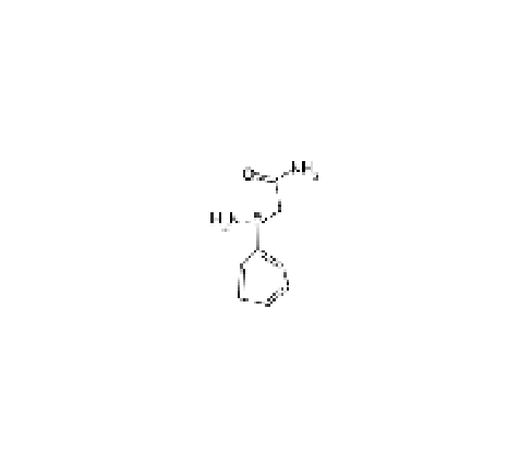 NC(=O)C[C@@H](N)c1ccccc1